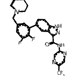 O=C(Nc1cnc(C(F)(F)F)cn1)c1n[nH]c2ccc(-c3cc(CN4CCCCC4)cc(F)c3F)cc12